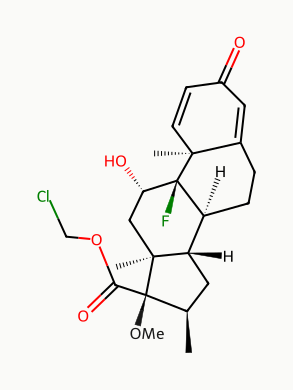 CO[C@]1(C(=O)OCCl)[C@H](C)C[C@H]2[C@@H]3CCC4=CC(=O)C=C[C@]4(C)[C@@]3(F)[C@@H](O)C[C@@]21C